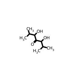 CC(C)C(O)C(=O)C(O)C(C)C